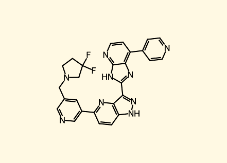 FC1(F)CCN(Cc2cncc(-c3ccc4[nH]nc(-c5nc6c(-c7ccncc7)ccnc6[nH]5)c4n3)c2)C1